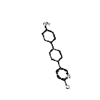 CCCC1CCC(C2CCC(c3ccc(Cl)nc3)CC2)CC1